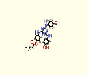 C=CC(=O)Oc1ccc(Nc2nc(Nc3ccc(O)cc3)nc(Nc3ccc(O)cc3)n2)cc1